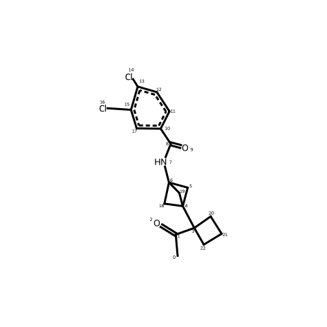 CC(=O)C1(C23CC(NC(=O)c4ccc(Cl)c(Cl)c4)(C2)C3)CCC1